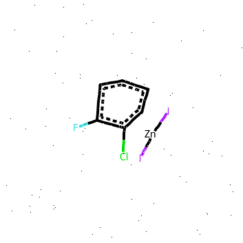 Fc1ccccc1Cl.[I][Zn][I]